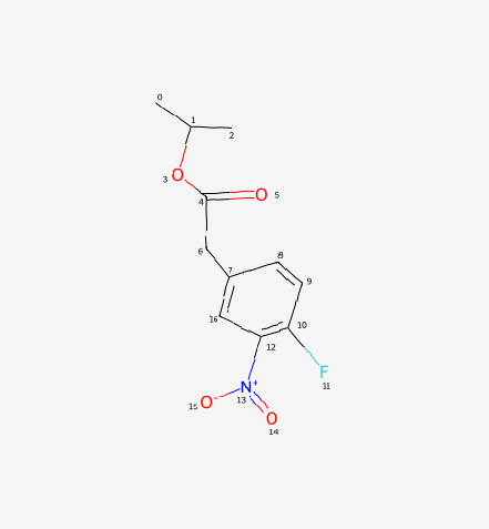 CC(C)OC(=O)Cc1ccc(F)c([N+](=O)[O-])c1